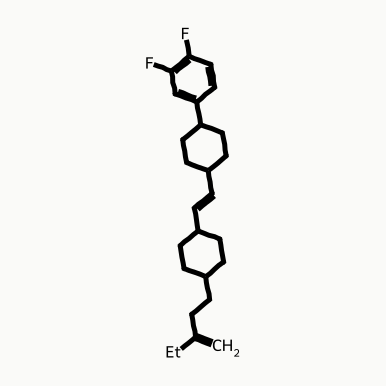 C=C(CC)CCC1CCC(C=CC2CCC(c3ccc(F)c(F)c3)CC2)CC1